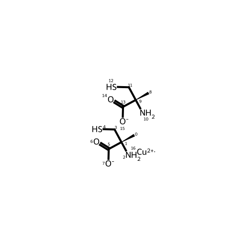 C[C@](N)(CS)C(=O)[O-].C[C@](N)(CS)C(=O)[O-].[Cu+2]